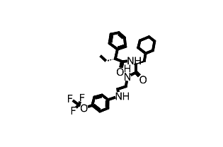 CC[C@@H](C(=O)N[C@@H](CC1CCCCC1)C(=O)NCCNc1ccc(OC(F)(F)F)cc1)c1ccccc1